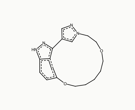 c1cc2[nH]nc3c2cc1OCCCCCOCCn1cc-3cn1